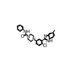 Cc1ccc2[nH]c(-c3cc(N4CCN(C(=O)Nc5ccccc5)CC4)ccc3Cl)nc2c1